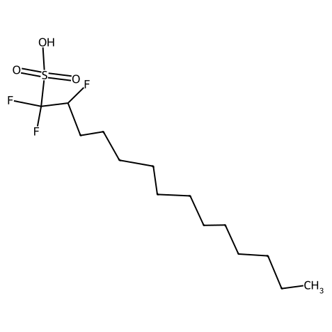 CCCCCCCCCCCCC(F)C(F)(F)S(=O)(=O)O